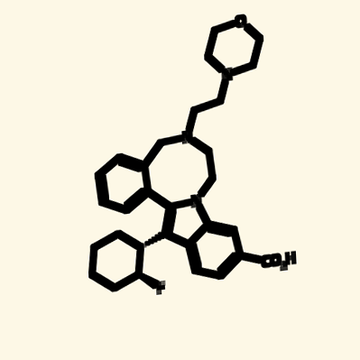 O=C(O)c1ccc2c([C@H]3CCCC[C@@H]3F)c3n(c2c1)CCN(CCN1CCOCC1)Cc1ccccc1-3